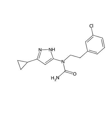 NC(=O)N(CCc1cccc(Cl)c1)c1cc(C2CC2)n[nH]1